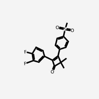 CC1(C)C(=O)C(c2ccc(F)c(F)c2)=C1c1ccc(S(C)(=O)=O)cc1